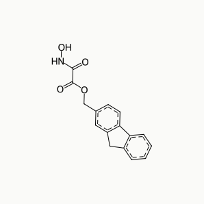 O=C(NO)C(=O)OCc1ccc2c(c1)Cc1ccccc1-2